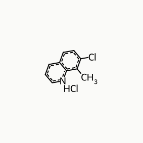 Cc1c(Cl)ccc2cccnc12.Cl